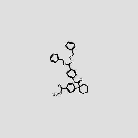 CC(C)(C)OC(=O)c1ccc(C2(C(=O)Oc3ccc(C(=NOCc4ccccc4)OCc4ccccc4)cc3)CCCCC2)cc1